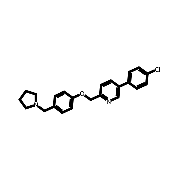 Clc1ccc(-c2ccc(COc3ccc(CN4CCCC4)cc3)nc2)cc1